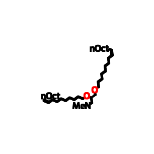 CCCCCCCC/C=C\CCCCCCCCOC[C@@H](CNC)OCCCCCCCC/C=C\CCCCCCCC